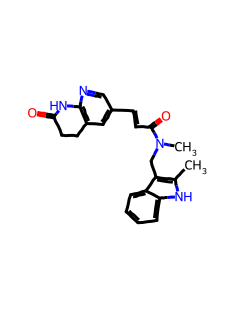 Cc1[nH]c2ccccc2c1CN(C)C(=O)C=Cc1cnc2c(c1)CCC(=O)N2